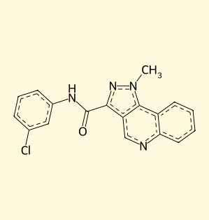 Cn1nc(C(=O)Nc2cccc(Cl)c2)c2cnc3ccccc3c21